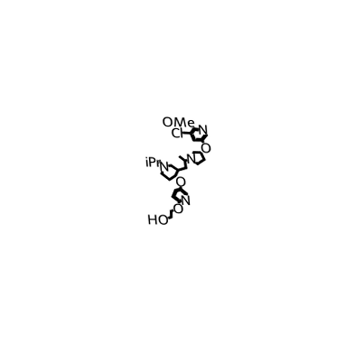 COc1ncc(OC2CCN(C(C)CC3CN(C(C)C)CCC3Oc3ccc(OCCO)nc3)C2)cc1Cl